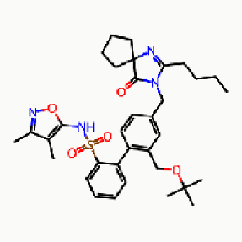 CCCCC1=NC2(CCCC2)C(=O)N1Cc1ccc(-c2ccccc2S(=O)(=O)Nc2onc(C)c2C)c(COC(C)(C)C)c1